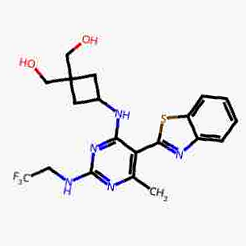 Cc1nc(NCC(F)(F)F)nc(NC2CC(CO)(CO)C2)c1-c1nc2ccccc2s1